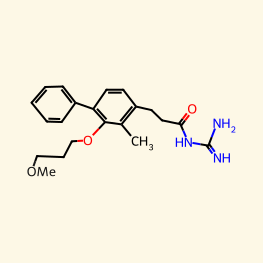 COCCCOc1c(-c2ccccc2)ccc(CCC(=O)NC(=N)N)c1C